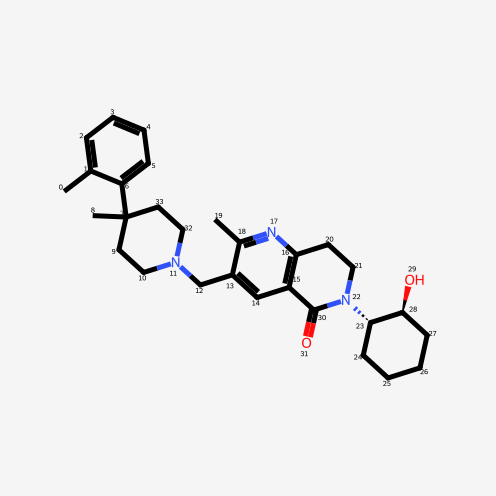 Cc1ccccc1C1(C)CCN(Cc2cc3c(nc2C)CCN([C@H]2CCCC[C@@H]2O)C3=O)CC1